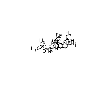 CCC(C)OC(=O)c1nnc(N=Nc2cc3c(cc2NS(=O)(=O)CC(F)(F)F)N(CC(C)C)C(C)CC3)s1